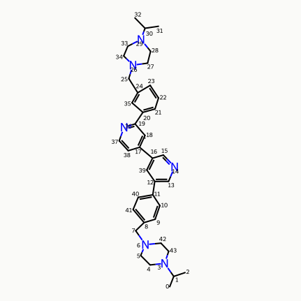 CC(C)N1CCN(Cc2ccc(-c3cncc(-c4[c]c(-c5cccc(CN6CCN(C(C)C)CC6)c5)ncc4)c3)cc2)CC1